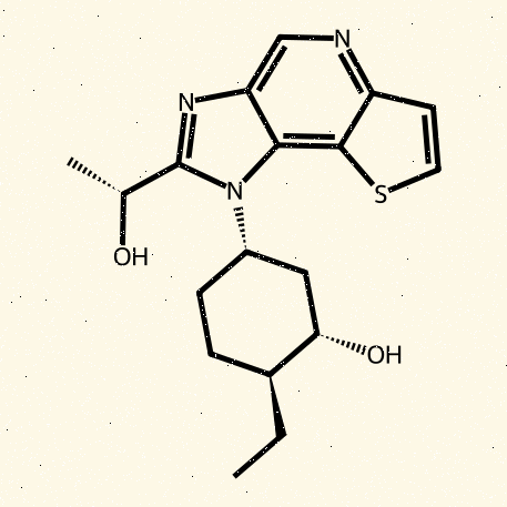 CC[C@H]1CC[C@H](n2c([C@@H](C)O)nc3cnc4ccsc4c32)C[C@@H]1O